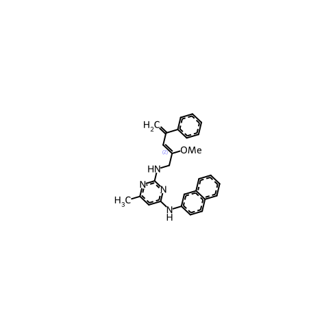 C=C(/C=C(/CNc1nc(C)cc(Nc2ccc3ccccc3c2)n1)OC)c1ccccc1